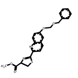 COC(=O)C1CSC(c2ccc3cc(OCOCc4ccccc4)ccc3n2)=N1